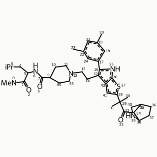 CNC(=O)C(CC(C)C)NC(=O)C1CCN(CCc2c(-c3cc(C)cc(C)c3)[nH]c3sc(C(C)(C)C(=O)C4C5CCC4NC5)cc23)CC1